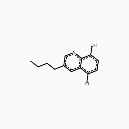 CCCCc1cnc2c(O)ccc(Cl)c2c1